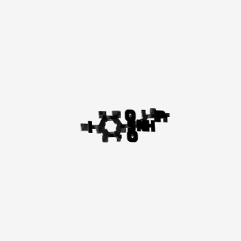 CC(C)CNS(=O)(=O)c1ccc(I)cc1